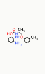 Cc1cccc(OCC(C)N(Nc2ccccc2N)C(=O)O)c1